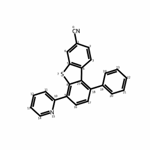 N#Cc1ccc2c(c1)sc1c(-c3ccccn3)ccc(-c3ccccc3)c12